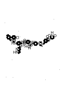 C[C@H]1CN([C@H]2CC[C@H](CNc3ccc(S(=O)(=O)NC(=O)c4ccc(NCCNCC5=C(c6ccc(Cl)cc6)CC(C)(C)CC5)cc4Oc4cnc5[nH]ccc5c4)cc3[NH+]([O-])O)CC2)CCN1Cc1ccc2c(c1)CN(C1CCC(=O)NC1=O)C2=O